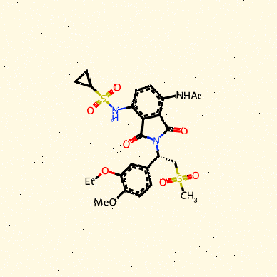 CCOc1cc([C@@H](CS(C)(=O)=O)N2C(=O)c3c(NC(C)=O)ccc(NS(=O)(=O)C4CC4)c3C2=O)ccc1OC